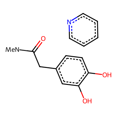 CNC(=O)Cc1ccc(O)c(O)c1.c1ccncc1